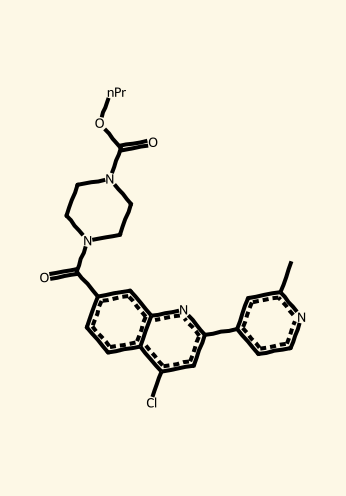 CCCOC(=O)N1CCN(C(=O)c2ccc3c(Cl)cc(-c4ccnc(C)c4)nc3c2)CC1